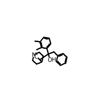 Cc1cccc(C(O)(Cc2ccccc2)C2CN3CCC2CC3)c1C